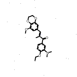 CCOc1ccc(C(=O)/C(C)=C/c2cc(OC)c3c(c2)OCCO3)cc1N(C)C